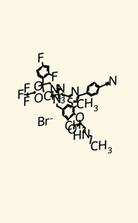 CCCNCC(=O)Oc1c(C)cc(C[n+]2cn(CC(CC)(OC(=O)C(F)(F)F)c3ccc(F)cc3F)nc2-c2nc(-c3ccc(C#N)cc3)cs2)cc1C.[Br-]